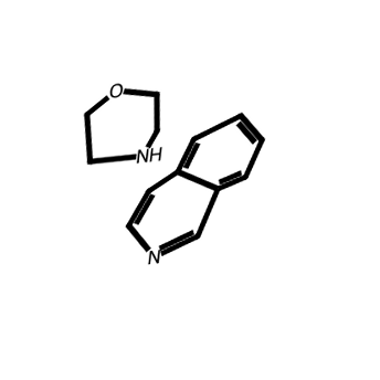 C1COCCN1.c1ccc2cnccc2c1